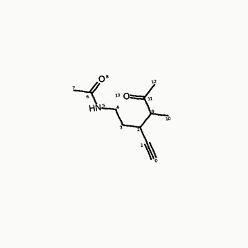 C#CC(CCNC(C)=O)C(C)C(C)=O